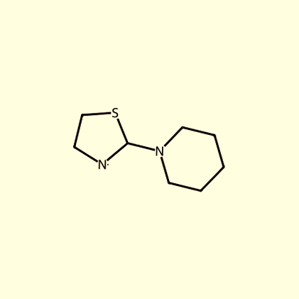 C1CCN(C2[N]CCS2)CC1